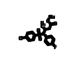 CC(CC(=O)OC(C)(C)C)N(c1ccc(F)cc1)S(=O)(=O)c1ccc(Cl)cc1